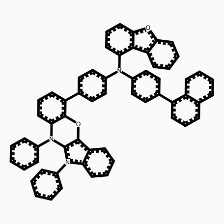 c1ccc(N2c3cccc(-c4ccc(N(c5ccc(-c6cccc7ccccc67)cc5)c5cccc6oc7ccccc7c56)cc4)c3Oc3c2n(-c2ccccc2)c2ccccc32)cc1